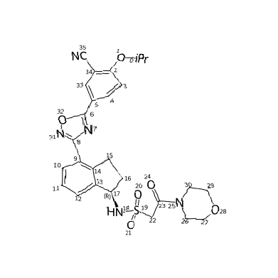 CC(C)Oc1ccc(-c2nc(-c3cccc4c3CC[C@H]4NS(=O)(=O)CC(=O)N3CCOCC3)no2)cc1C#N